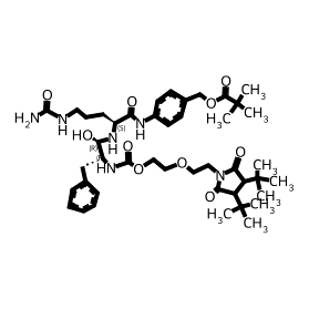 CC(C)(C)C(=O)OCc1ccc(NC(=O)[C@H](CCCNC(N)=O)N[C@H](O)[C@@H](Cc2ccccc2)NC(=O)OCCOCCN2C(=O)C(C(C)(C)C)C(C(C)(C)C)C2=O)cc1